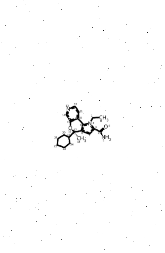 CCn1c(C(N)=O)cc2c1-c1ccncc1O[C@]2(C)C1CCCCC1